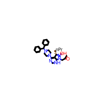 CCCSC1C2=C(N3CCN(C(c4ccccc4)c4ccccc4)CC3)N=CNC2N(CC2CO2)N1O